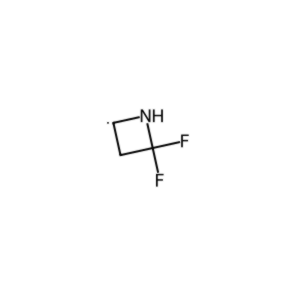 FC1(F)C[CH]N1